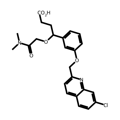 CN(C)C(=O)COC(CCC(=O)O)c1cccc(OCc2ccc3ccc(Cl)cc3n2)c1